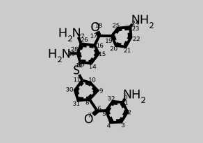 Nc1cccc(C(=O)c2ccc(Sc3ccc(C(=O)c4cccc(N)c4)c(N)c3N)cc2)c1